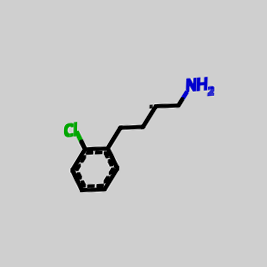 NC[CH]CCc1ccccc1Cl